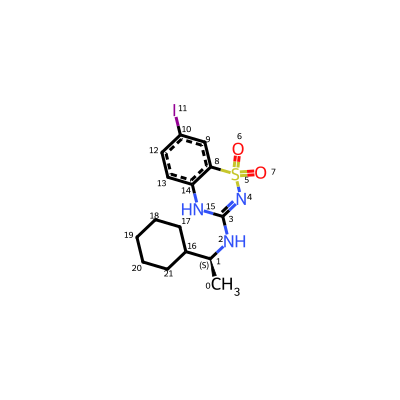 C[C@H](NC1=NS(=O)(=O)c2cc(I)ccc2N1)C1CCCCC1